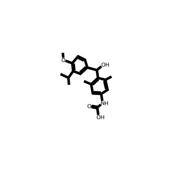 COc1ccc(C(O)c2c(C)cc(NC(=O)O)cc2C)cc1C(C)C